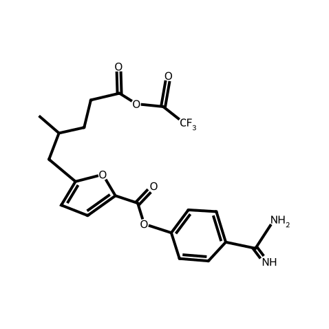 CC(CCC(=O)OC(=O)C(F)(F)F)Cc1ccc(C(=O)Oc2ccc(C(=N)N)cc2)o1